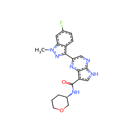 Cn1nc(-c2cnc3[nH]cc(C(=O)N[C@@H]4CCCOC4)c3n2)c2ccc(F)cc21